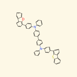 c1ccc(N(c2ccc(-c3ccc(N(c4ccccc4)c4ccc(-c5cccc6c5sc5ccccc56)cc4)cc3)cc2)c2ccc(-c3cccc4c3oc3ccccc34)cc2)cc1